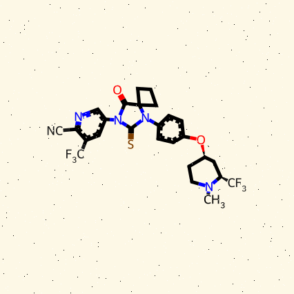 CN1CC[C@@H](Oc2ccc(N3C(=S)N(c4cnc(C#N)c(C(F)(F)F)c4)C(=O)C34CCC4)cc2)C[C@H]1C(F)(F)F